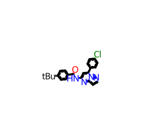 CC(C)(C)c1ccc(C(=O)Nc2cc(-c3ccc(Cl)cc3)n3nccc3n2)cc1